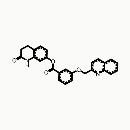 O=C1CCc2ccc(OC(=O)c3cccc(OCc4ccc5ccccc5n4)c3)cc2N1